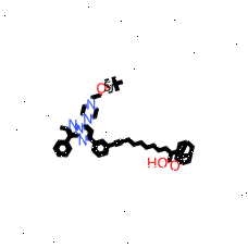 Cc1nn2c(N3CCN(CCO[Si](C)(C)C(C)(C)C)CC3)cc(-c3cccc(C#CCCCCCCCC(C(=O)O)C45CC6CC(CC(C6)C4)C5)c3)nc2c1-c1ccccc1